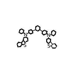 C1=CC2Sc3ccc(N(c4ccccc4)c4ccc(-c5cccc(-c6ccc(N(c7ccccc7)c7ccc8sc9ccccc9c8c7)cc6)c5)cc4)cc3C2C=C1